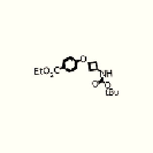 CCOC(=O)c1ccc(O[C@H]2C[C@H](NC(=O)OC(C)(C)C)C2)cc1